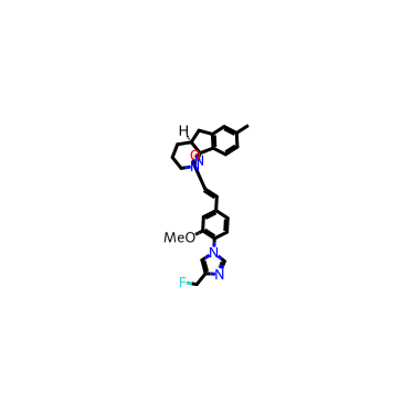 COc1cc(/C=C/C2=NO[C@@]34c5ccc(C)cc5C[C@@H]3CCCN24)ccc1-n1cnc(CF)c1